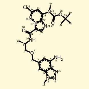 C[C@H](COCc1cc(N)c2nnn(C)c2c1)NC(=O)c1cnc2c(N(C)C(=O)OC(C)(C)C)cc(Cl)nn12